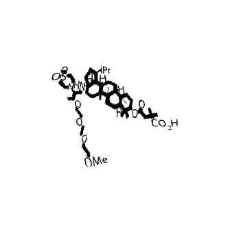 COCCOCCOCCOC(C)C(CN[C@]12CC[C@@H](C(C)C)[C@@H]1[C@H]1CC[C@@H]3[C@@]4(C)CC[C@H](OC(=O)CC(C)(C)C(=O)O)C(C)(C)[C@@H]4CC[C@@]3(C)[C@]1(C)CC2)N1CCS(=O)(=O)CC1